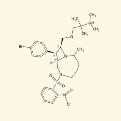 CC1CCCN(S(=O)(=O)c2ccccc2[N+](=O)[O-])C[C@H]2[C@@H](c3ccc(Br)cc3)[C@@H](COCC(C)(C)[SiH](C)C)N12